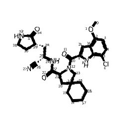 COc1ccc(Cl)c2[nH]c(C(=O)N3CC4(CCCCC4)CC3C(=O)N[C@H](C#N)C[C@@H]3CCNC3=O)cc12